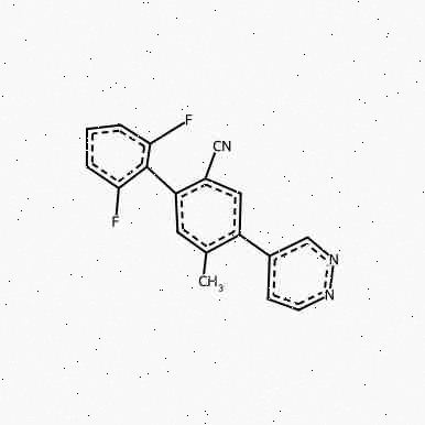 Cc1cc(-c2c(F)cccc2F)c(C#N)cc1-c1ccnnc1